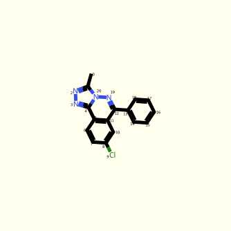 Cc1nnc2c3ccc(Cl)cc3c(-c3ccccc3)nn12